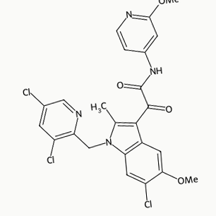 COc1cc(NC(=O)C(=O)c2c(C)n(Cc3ncc(Cl)cc3Cl)c3cc(Cl)c(OC)cc23)ccn1